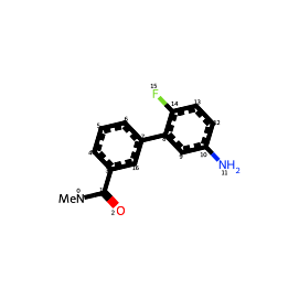 CNC(=O)c1cccc(-c2cc(N)ccc2F)c1